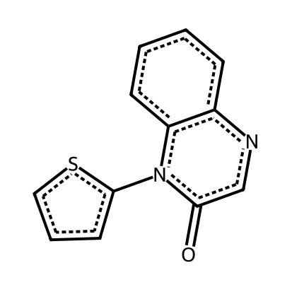 O=c1cnc2ccccc2n1-c1cccs1